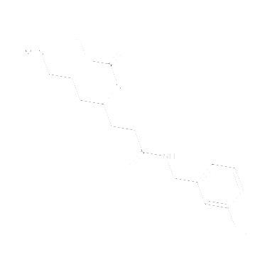 CNCCCC(CCC(=O)NCc1cccc(C(F)(F)F)c1)NC(=O)OC(C)(C)C